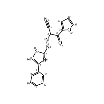 N#CC(/N=N/c1nc(-c2ccccc2)ns1)C(=O)c1ccco1